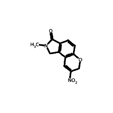 CN1Cc2c(ccc3c2C=C([N+](=O)[O-])CO3)C1=O